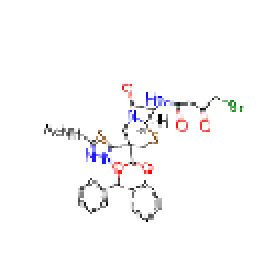 CC(=O)Nc1nnc(C2(C(=O)OC(c3ccccc3)c3ccccc3)CS[C@@H]3C(NC(=O)CC(=O)CBr)C(=O)N3C2)s1